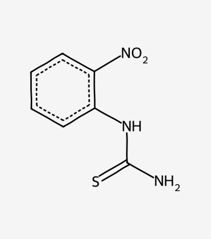 NC(=S)Nc1ccccc1[N+](=O)[O-]